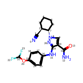 N#C[C@H]1CCCC[C@@H]1n1cc(C(N)=O)c(Nc2ccc(OC(F)F)cc2)n1